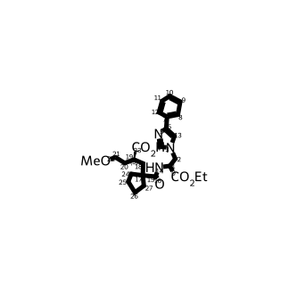 CCOC(=O)C(Cn1cnc(-c2ccccc2)c1)NC(=O)C1(C[C@@H](CCOC)C(=O)O)CCCC1